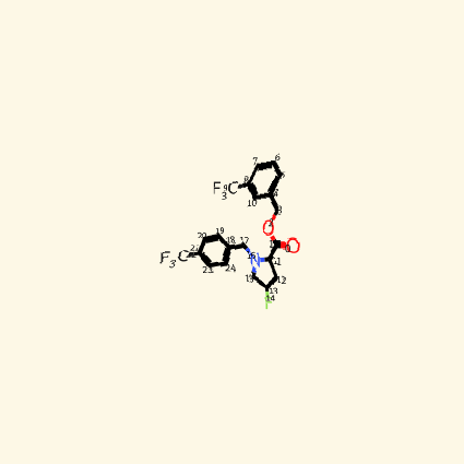 O=C(OCc1cccc(C(F)(F)F)c1)C1CC(F)CN1Cc1ccc(C(F)(F)F)cc1